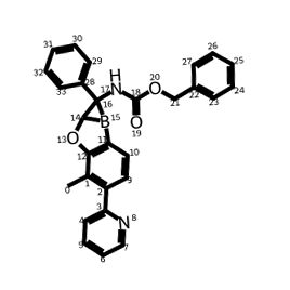 Cc1c(-c2ccccn2)ccc2c1OC1B2C1(NC(=O)OCc1ccccc1)c1ccccc1